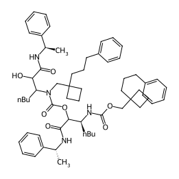 CCCCC(C(O)C(=O)N[C@H](C)c1ccccc1)N(CC1(CCCc2ccccc2)CCC1)C(=O)OC(C(=O)N[C@H](C)c1ccccc1)[C@H](CCCC)NC(=O)OCC1(CCCc2ccccc2)CCC1